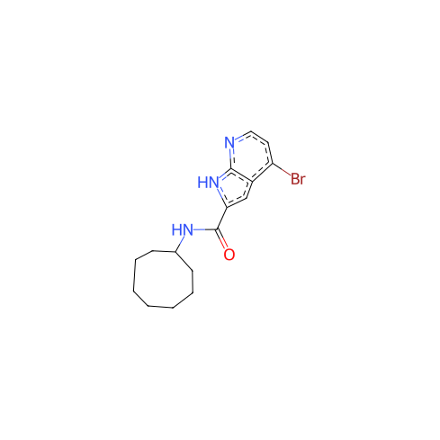 O=C(NC1CCCCCCC1)c1cc2c(Br)ccnc2[nH]1